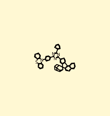 c1ccc(-c2nc(-c3ccc(N4c5ccccc5Sc5ccccc54)cc3)nc(-c3ccc4c(c3)C3(c5ccc6ccccc6c5-4)C4CC5CC(C4)CC3C5)n2)cc1